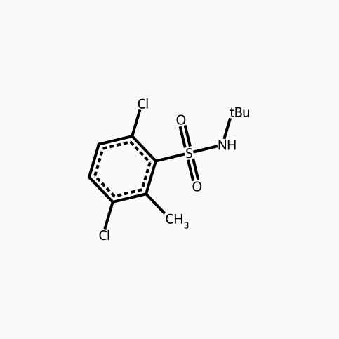 Cc1c(Cl)ccc(Cl)c1S(=O)(=O)NC(C)(C)C